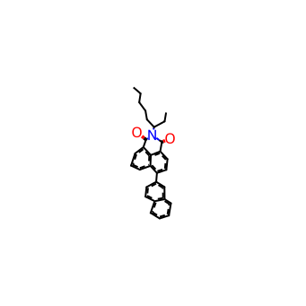 CCCCCC(CC)N1C(=O)c2cccc3c(-c4ccc5ccccc5c4)ccc(c23)C1=O